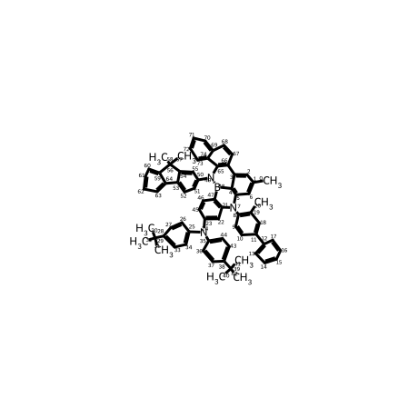 Cc1cc2c3c(c1)N(c1ccc(-c4ccccc4)cc1C)c1cc(N(c4ccc(C(C)(C)C)cc4)c4ccc(C(C)(C)C)cc4)ccc1B3N(c1ccc3c(c1)C(C)(C)c1ccccc1-3)c1c-2ccc2ccccc12